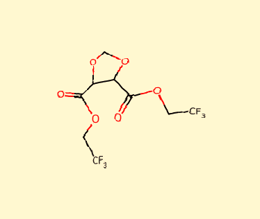 O=C(OCC(F)(F)F)C1OCOC1C(=O)OCC(F)(F)F